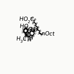 CCCCCCCC/C=C\CCCCCCCC(=O)O.CN1CC[C@]23c4c5ccc(O)c4O[C@H]2C(=O)CC[C@H]3[C@H]1C5